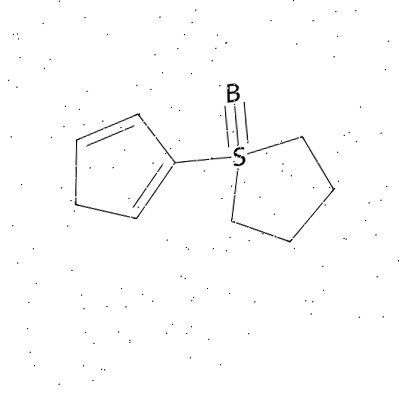 B#S1(C2=CCC=C2)CCCC1